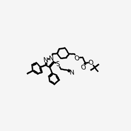 Cc1ccc(-c2nn(CC3CCC(COCC(=O)OC(C)(C)C)CC3)c(SCC#N)c2-c2ccccc2)cc1